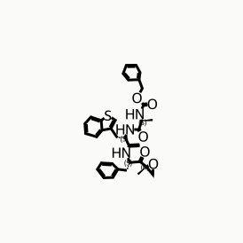 C=C(N[C@@H](Cc1ccccc1)C(=O)[C@@]1(C)CO1)[C@H](Cc1csc2ccccc12)NC(=O)[C@H](C)NC(=O)OCc1ccccc1